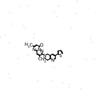 Cc1cc(=O)n2nc(N3CCc4ncc(-c5cccs5)cc4C3)c(C)cc2n1